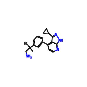 CCC(C)(CN)c1cccc(-c2ccnc3[nH]nc(C4CC4)c23)c1